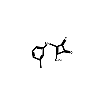 CNc1c(Nc2cccc(C)c2)c(=O)c1=O